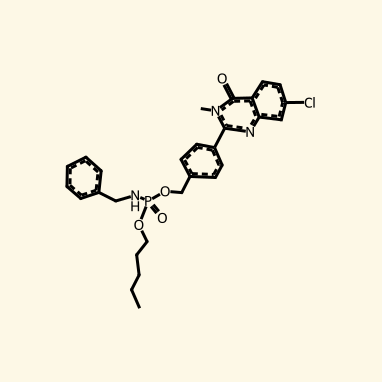 CCCCCOP(=O)(NCc1ccccc1)OCc1ccc(-c2nc3cc(Cl)ccc3c(=O)n2C)cc1